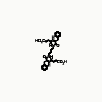 O=C(O)CCC(=O)N[C@@H](Cc1ccccc1)C(=O)NCCCCNC(=O)[C@H](Cc1ccccc1)NC(=O)CCC(=O)O